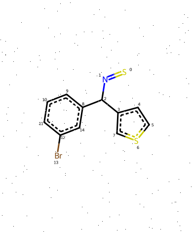 S=NC(c1ccsc1)c1cccc(Br)c1